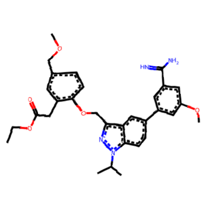 CCOC(=O)Cc1cc(COC)ccc1OCc1nn(C(C)C)c2ccc(-c3cc(OC)cc(C(=N)N)c3)cc12